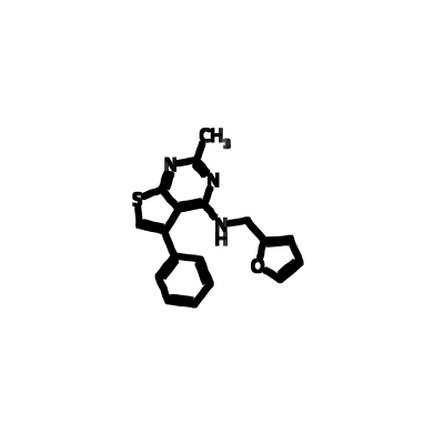 Cc1nc(NCc2ccco2)c2c(-c3ccccc3)csc2n1